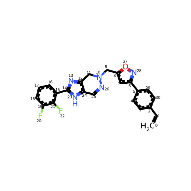 C=Cc1ccc(-c2cc(CN3Cc4nc(-c5cccc(F)c5F)[nH]c4C=N3)on2)cc1